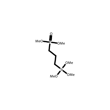 CO[Si](CCCP(=O)(OC)OC)(OC)OC